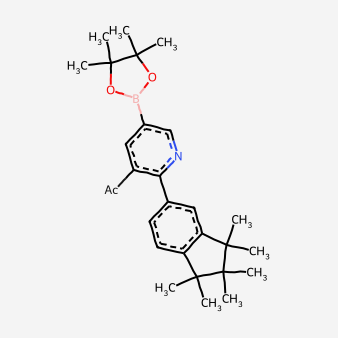 CC(=O)c1cc(B2OC(C)(C)C(C)(C)O2)cnc1-c1ccc2c(c1)C(C)(C)C(C)(C)C2(C)C